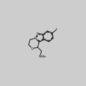 CNCC1OCCn2nc3cc(F)ccc3c21